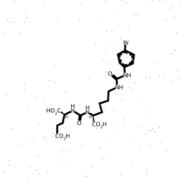 O=C(O)CC[C@H](NC(=O)N[C@@H](CCCCNC(=O)Nc1ccc(Br)cc1)C(=O)O)C(=O)O